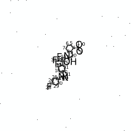 COC(=O)c1cccc2c1ccn2CC(O)(c1ccc2c(cnn2-c2ccc(F)cc2)c1)C(F)(F)F